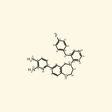 Nc1ccc(-c2ccc3c(c2)CN(c2ncncc2Cc2ccc(F)cc2)CCO3)nc1N